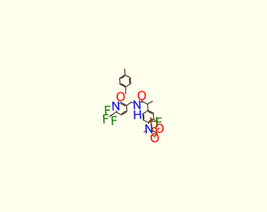 Cc1ccc(COc2nc(C(F)(F)F)ccc2CNC(=O)C(C)c2ccc(N(C)[SH](=O)=O)c(F)c2)cc1